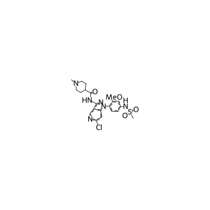 COc1cc(NS(C)(=O)=O)ccc1-n1nc(NC(=O)C2CCN(C)CC2)c2cnc(Cl)cc21